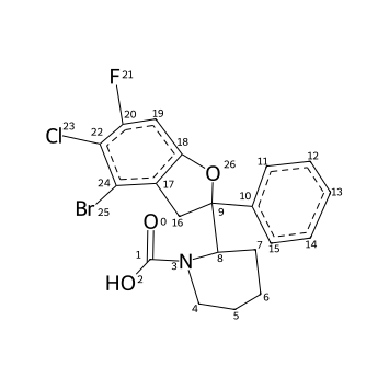 O=C(O)N1CCCCC1C1(c2ccccc2)Cc2c(cc(F)c(Cl)c2Br)O1